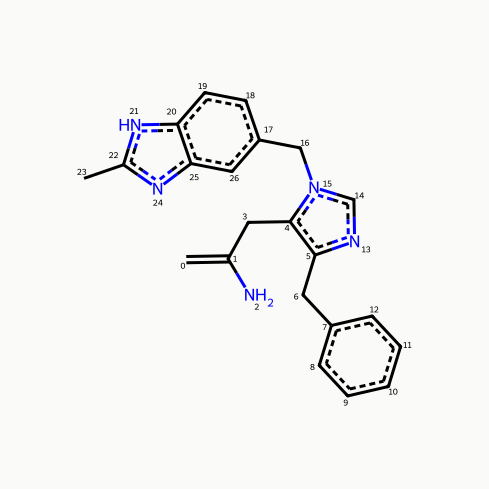 C=C(N)Cc1c(Cc2ccccc2)ncn1Cc1ccc2[nH]c(C)nc2c1